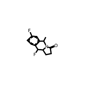 CC1c2cc(F)ccc2C(F)C2CCC(=O)N12